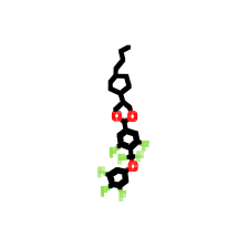 CCCCC1CCC(C2COC(c3cc(F)c(C(F)(F)Oc4cc(F)c(F)c(F)c4)c(F)c3)OC2)CC1